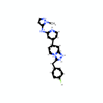 Cn1nccc1Nc1cc(-c2ccn3c(Cc4ccc(F)cc4)nnc3c2)ccn1